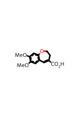 COc1cc2c(cc1OC)OCCC(C(=O)O)=C2